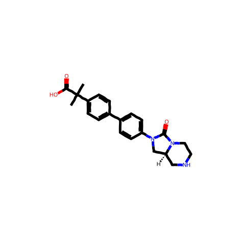 CC(C)(C(=O)O)c1ccc(-c2ccc(N3C[C@@H]4CNCCN4C3=O)cc2)cc1